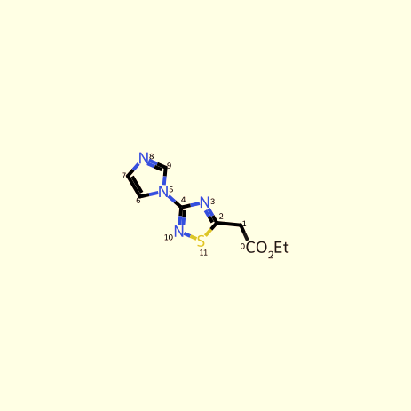 CCOC(=O)Cc1nc(-n2ccnc2)ns1